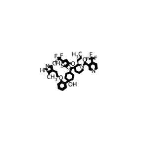 CCC[C@H]1N(C(=O)c2cnccc2C(F)(F)F)CCC[C@@]1(Oc1csc(C(F)(F)F)c1)C(=O)C1CCC(O)(c2ccccc2OCCc2c(C)n[nH]c2C)CC1